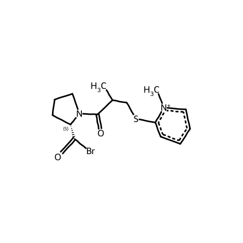 CC(CSc1cccc[n+]1C)C(=O)N1CCC[C@H]1C(=O)Br